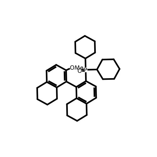 COc1ccc2c(c1-c1c(P(=O)(C3CCCCC3)C3CCCCC3)ccc3c1CCCC3)CCCC2